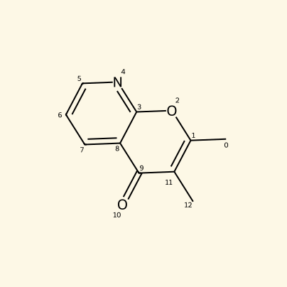 Cc1oc2ncccc2c(=O)c1C